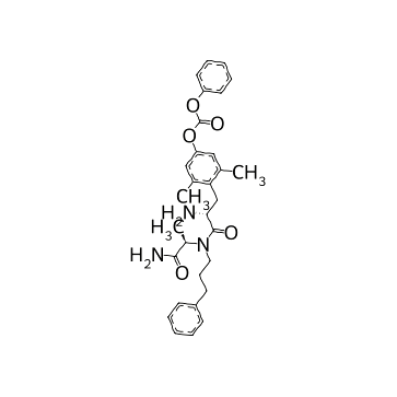 Cc1cc(OC(=O)Oc2ccccc2)cc(C)c1C[C@@H](N)C(=O)N(CCCc1ccccc1)[C@H](C)C(N)=O